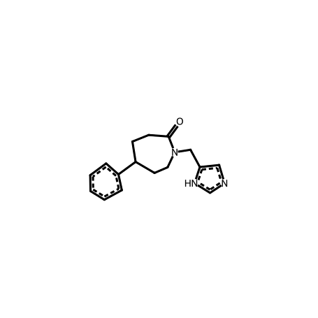 O=C1CCC(c2ccccc2)CCN1Cc1cnc[nH]1